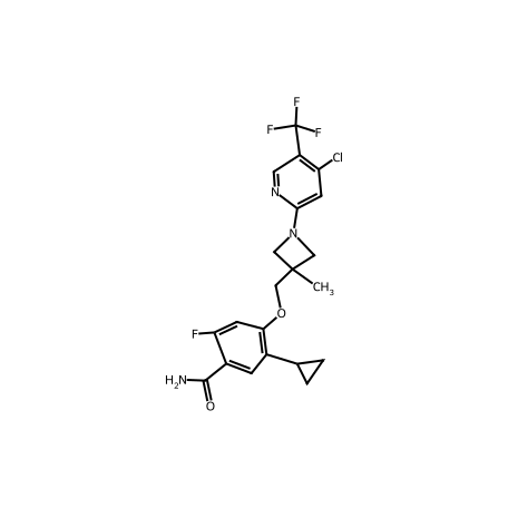 CC1(COc2cc(F)c(C(N)=O)cc2C2CC2)CN(c2cc(Cl)c(C(F)(F)F)cn2)C1